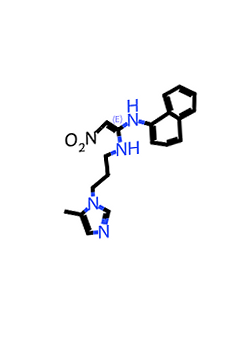 Cc1cncn1CCCN/C(=C\[N+](=O)[O-])Nc1cccc2ccccc12